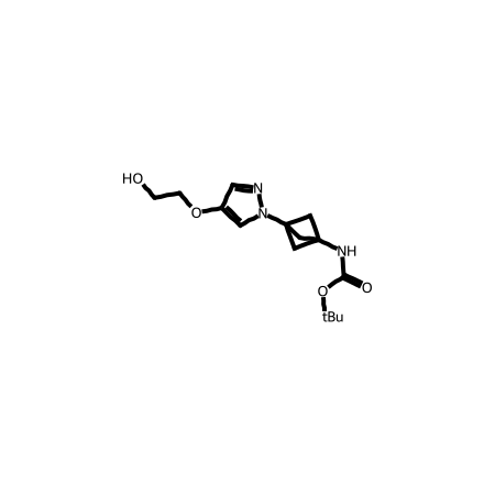 CC(C)(C)OC(=O)NC12CC(n3cc(OCCO)cn3)(C1)C2